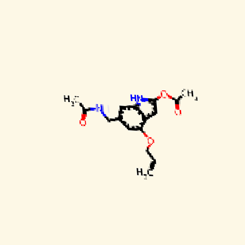 C=CCOc1cc(CNC(C)=O)cc2[nH]c(OC(C)=O)cc12